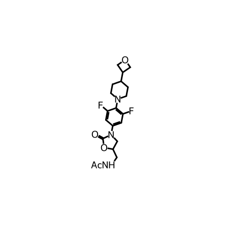 CC(=O)NCC1CN(c2cc(F)c(N3CCC(C4COC4)CC3)c(F)c2)C(=O)O1